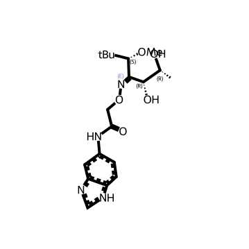 CO[C@H](/C(=N/OCC(=O)Nc1ccc2[nH]cnc2c1)[C@@H](O)[C@@H](C)O)C(C)(C)C